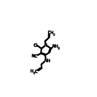 C=CCNC1=C(C#N)C(Cl)N(CC=C)C(N)=C1